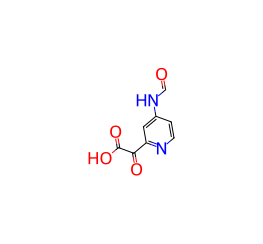 O=CNc1ccnc(C(=O)C(=O)O)c1